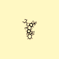 CCN(CC)CCN1C(=O)c2cc(Cl)c(C3(C(=O)O)CCCCCC3)cc2Oc2cc(C(F)(F)F)ccc21